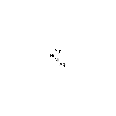 [Ag].[Ag].[Ni].[Ni]